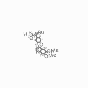 CCCCN(C(N)=O)c1ccc(Oc2ncnc3cc(OC)c(OC)cc23)cc1